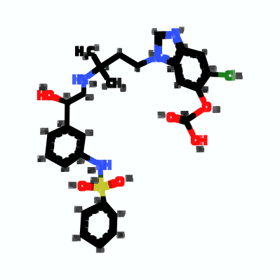 CC(C)(CCn1cnc2cc(Cl)c(OC(=O)O)cc21)NC[C@H](O)c1cccc(NS(=O)(=O)c2ccccc2)c1